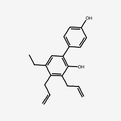 C=CCc1c(CC)cc(-c2ccc(O)cc2)c(O)c1CC=C